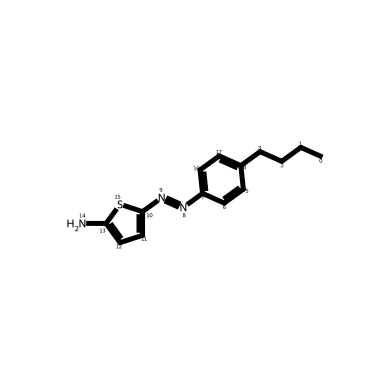 CCCCc1ccc(N=Nc2ccc(N)s2)cc1